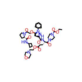 CCOC(=O)N1CCN(C(=O)[C@H](CCC(=O)OCCN2CCOCC2)NC(=O)c2cc(OCC(=O)N3CCC[C@H]3C(=O)NC3CCC3)n(-c3ccccc3)n2)CC1